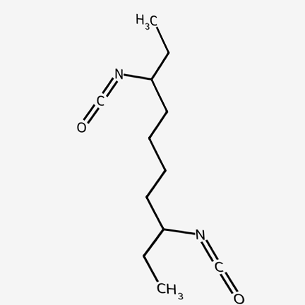 CCC(CCCCC(CC)N=C=O)N=C=O